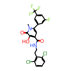 Cn1c(-c2cc(F)cc(C(F)(F)F)c2)cc(C(=O)NCCc2c(Cl)cccc2Cl)c(O)c1=O